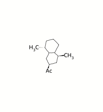 CC(=O)[C@H]1CC2C(CCC[C@H]2C)[C@@H](C)C1